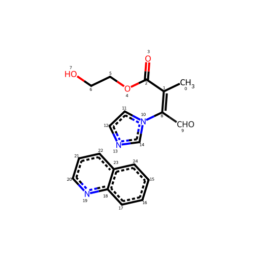 CC(C(=O)OCCO)=C(C=O)n1ccnc1.c1ccc2ncccc2c1